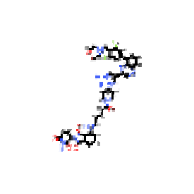 N=C/C(=C\NC1CCN(C(=O)CCCCNc2cccc3c2C(=O)N(C2CCC(=O)NC2=O)C3=O)CC1)c1cnc2cccc(-c3cc(F)c(CN4CCOCC4)c(F)c3)c2n1